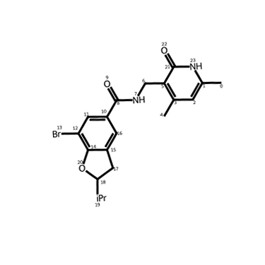 Cc1cc(C)c(CNC(=O)c2cc(Br)c3c(c2)CC(C(C)C)O3)c(=O)[nH]1